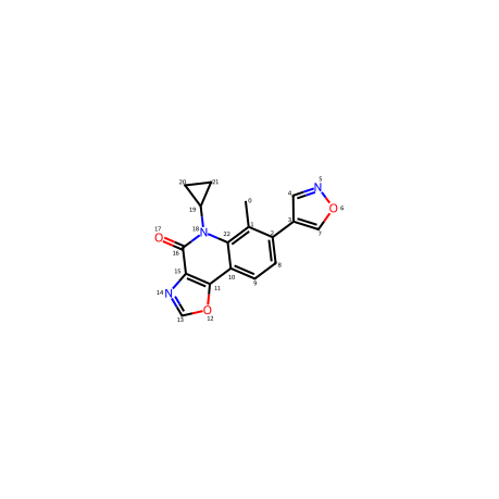 Cc1c(-c2cnoc2)ccc2c3ocnc3c(=O)n(C3CC3)c12